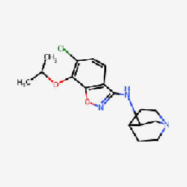 CC(C)Oc1c(Cl)ccc2c(NC3CN4CCC3CC4)noc12